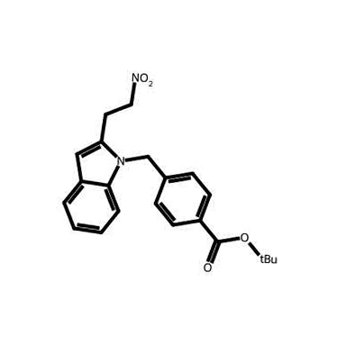 CC(C)(C)OC(=O)c1ccc(Cn2c(CC[N+](=O)[O-])cc3ccccc32)cc1